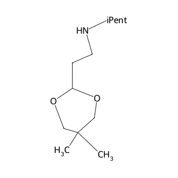 CCCC(C)NCCC1OCC(C)(C)CO1